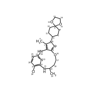 Cc1c2c(nn1C1CCC3(CC1)OCCO3)OCCC(C)Nc1nc(ncc1Cl)N2